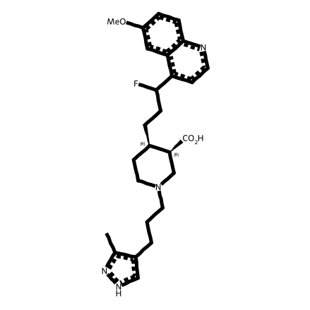 COc1ccc2nccc(C(F)CC[C@@H]3CCN(CCCc4c[nH]nc4C)C[C@@H]3C(=O)O)c2c1